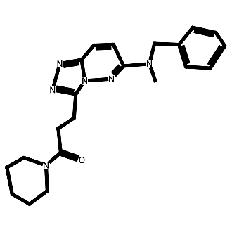 CN(Cc1ccccc1)c1ccc2nnc(CCC(=O)N3CCCCC3)n2n1